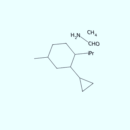 C.CC1CCC(C(C)C)C(C2CC2)C1.NC=O